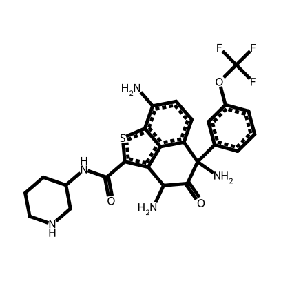 Nc1ccc2c3c(c(C(=O)NC4CCCNC4)sc13)C(N)C(=O)C2(N)c1cccc(OC(F)(F)F)c1